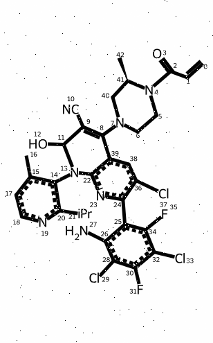 C=CC(=O)N1CCN(C2=C(C#N)C(O)N(c3c(C)ccnc3C(C)C)c3nc(-c4c(N)c(Cl)c(F)c(Cl)c4F)c(Cl)cc32)C[C@H]1C